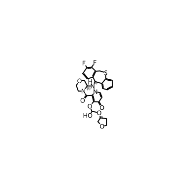 O=C1c2c(OC(O)O[C@@H]3CCOC3)c(=O)ccn2N([C@@H]2c3ccccc3SCc3c2ccc(F)c3F)[C@@H]2COCCN12